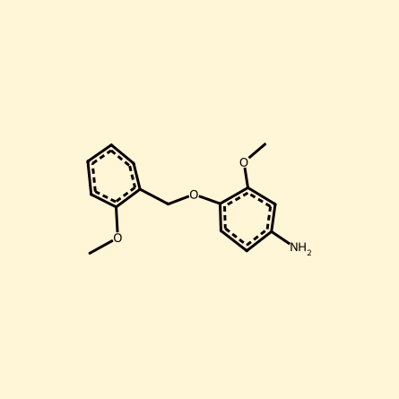 COc1ccccc1COc1ccc(N)cc1OC